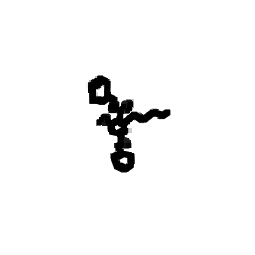 CCCCCc1[c]c(OCc2ccccc2)cc(OC)c1C(=O)OCc1ccccc1